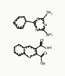 Nc1nc(N)nc(-c2ccccc2)n1.O=C(O)c1cc2ccccc2nc1C(=O)O